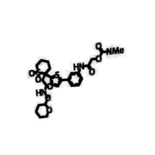 CNC(=O)OCC(=O)Nc1cccc(-c2ccc([C@@]3(CC(=O)NOC4CCCCO4)CCCCS3(=O)=O)s2)c1